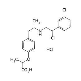 CC(Cc1ccc(OC(C)C(=O)O)cc1)NCC(Cl)c1cccc(Cl)c1.Cl